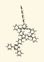 C#CC#CC#CC#Cc1cccc(N(c2ccccc2)c2ccc3c(c2)c2cc(N(c4ccccc4)c4cccc(CCCCCC)c4)ccc2n3-c2ccc(-c3nc(-c4ccccc4)nc(-c4ccccc4)n3)cc2)c1